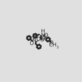 COc1ccc(S(=O)(=O)N[C@H](Cc2ccccc2)C(=O)OC[C@@H](Cc2ccccc2)NC(=O)c2ccccc2)cc1